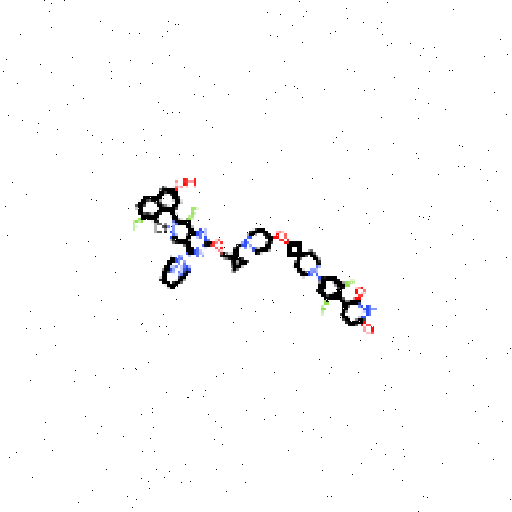 CCc1c(F)ccc2cc(O)cc(-c3ncc4c(N5CC6CCC(C5)N6)nc(OCC5(CN6CCC(OC7CC8(CCN(c9cc(F)c(C%10CCC(=O)NC%10=O)c(F)c9)CC8)C7)CC6)CC5)nc4c3F)c12